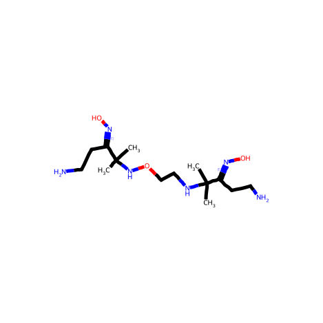 CC(C)(NCCONC(C)(C)/C(CCN)=N/O)/C(CCN)=N/O